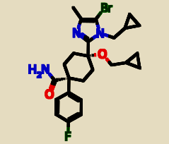 Cc1nc([C@]2(OCC3CC3)CC[C@](C(N)=O)(c3ccc(F)cc3)CC2)n(CC2CC2)c1Br